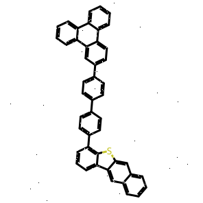 c1ccc2cc3c(cc2c1)sc1c(-c2ccc(-c4ccc(-c5ccc6c7ccccc7c7ccccc7c6c5)cc4)cc2)cccc13